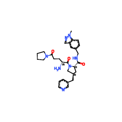 Cn1ncc2cc(CNC(=O)[C@@H]3C[C@@H](Cc4cccnc4)CN3C(=O)[C@H](N)CCC(=O)N3CCCC3)ccc21